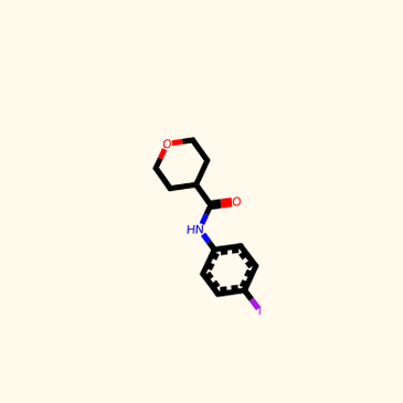 O=C(Nc1ccc(I)cc1)C1CCOCC1